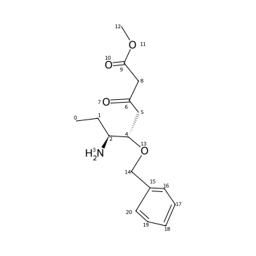 CC[C@H](N)[C@H](CC(=O)CC(=O)OC)OCc1ccccc1